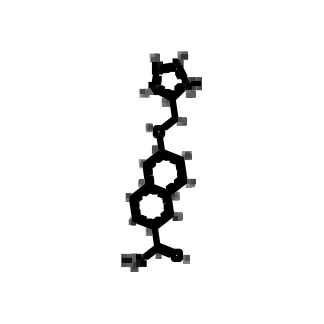 NC(=O)c1ccc2cc(OCc3nnn[nH]3)ccc2c1